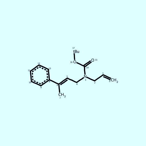 C=CCN(CC=C(C)c1ccccc1)C(=O)OC(C)(C)C